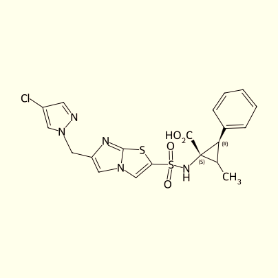 CC1[C@H](c2ccccc2)[C@]1(NS(=O)(=O)c1cn2cc(Cn3cc(Cl)cn3)nc2s1)C(=O)O